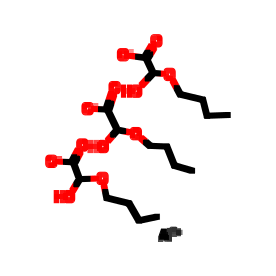 CCCCOC(O)C(=O)[O-].CCCCOC(O)C(=O)[O-].CCCCOC(O)C(=O)[O-].[Al+3]